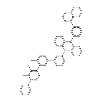 Cc1ccccc1-c1ccc(-c2cc(-c3cccc(-c4c5ccccc5c(-c5cccc(-c6cccc7ccccc67)c5)c5ccccc45)c3)ccc2C)c(C)c1C